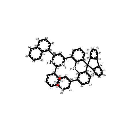 c1ccc(-c2nc(-c3cccc4c3Oc3c(-c5cccnc5)cccc3C43c4ccccc4-c4ccccc43)cc(-c3cccc4ccccc34)n2)cc1